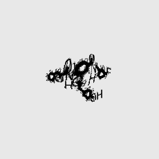 O=C(NCc1cccc(F)c1)c1ccc(NC(=O)c2cc3ccccc3o2)c(OCCc2ccc(O)cc2)c1